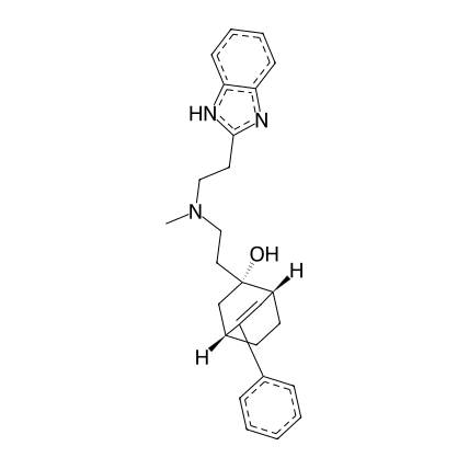 CN(CCc1nc2ccccc2[nH]1)CC[C@]1(O)C[C@H]2CC[C@@H]1C=C2c1ccccc1